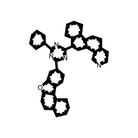 c1ccc(-c2nc(-c3ccc4c(c3)oc3ccc5ccccc5c34)nc(-c3cc4c5cnccc5ccc4c4ccccc34)n2)cc1